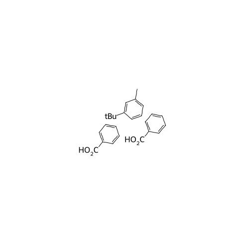 Cc1cccc(C(C)(C)C)c1.O=C(O)c1ccccc1.O=C(O)c1ccccc1